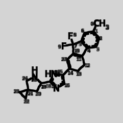 Cc1ccc2c(c1)C(F)(F)C1=C2CCC(c2cnc(C3CC4(CC4)CN3)[nH]2)=C1